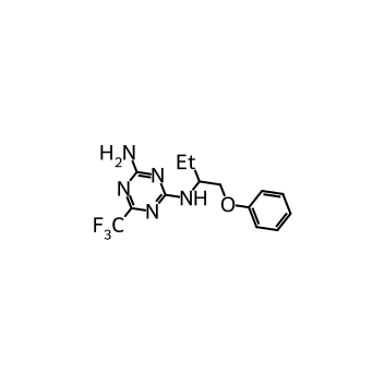 CCC(COc1ccccc1)Nc1nc(N)nc(C(F)(F)F)n1